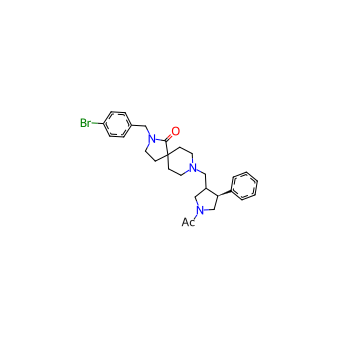 CC(=O)N1CC(CN2CCC3(CC2)CCN(Cc2ccc(Br)cc2)C3=O)[C@@H](c2ccccc2)C1